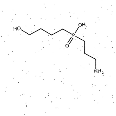 NCCCP(=O)(O)CCCCO